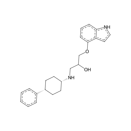 OC(CN[C@H]1CC[C@@H](c2ccccc2)CC1)COc1cccc2[nH]ccc12